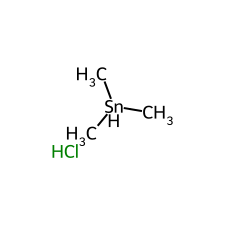 Cl.[CH3][SnH]([CH3])[CH3]